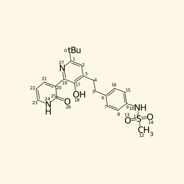 CC(C)(C)c1cc(CCc2ccc(NS(C)(=O)=O)cc2)c(O)c(-c2ccc[nH]c2=O)n1